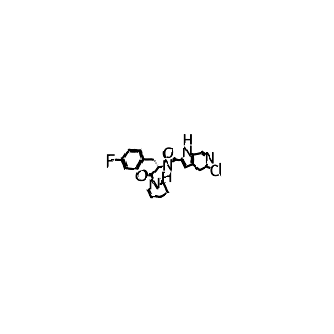 O=C(N[C@@H](Cc1ccc(F)cc1)C(=O)N1CCCCC1)c1cc2c([nH]1)C=NC(Cl)C2